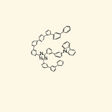 c1ccc(-c2cccc(-c3cccc(-c4ccc(-c5cccc(-c6cccc(-c7nc(-c8cccc(-c9cccc(-c%10ccccc%10)c9)c8)nc(-c8cccc(-c9cccc(-n%10c%11ccccc%11c%11ccccc%11%10)c9)c8)n7)c6)c5)cc4)c3)c2)cc1